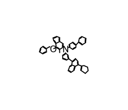 Cc1c(N(c2ccc(-c3ccccc3)cc2)c2cccc(-c3ccc(C4=CCCCC4)c4ccccc34)c2)cc2ccccc2c1OCc1ccccc1